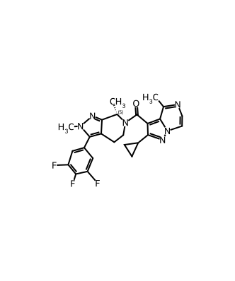 Cc1nccn2nc(C3CC3)c(C(=O)N3CCc4c(nn(C)c4-c4cc(F)c(F)c(F)c4)[C@@H]3C)c12